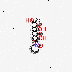 CC(=O)C1=C(O)CC2CC3Cc4ccc(CN5C(=O)C/C=C\C=C/CC5=O)c(O)c4C(=O)C3=C(O)C2C1=O